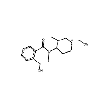 CC1C[C@H](CO)CCC1N(C)C(=O)c1ccccc1CO